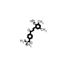 CCCOc1c(C)cc(C)cc1C=CC(=O)c1ccc(C(=O)N(C)C)cc1